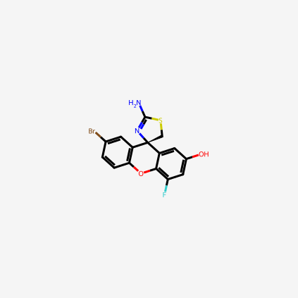 NC1=N[C@@]2(CS1)c1cc(Br)ccc1Oc1c(F)cc(O)cc12